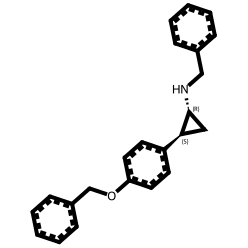 c1ccc(CN[C@@H]2C[C@H]2c2ccc(OCc3ccccc3)cc2)cc1